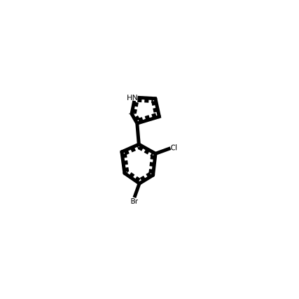 Clc1cc(Br)ccc1-c1[c][nH]cc1